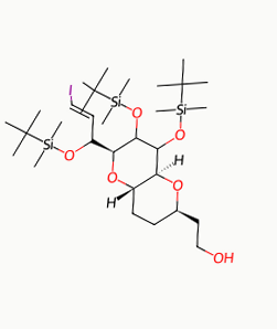 CC(C)(C)[Si](C)(C)OC(/C=C/I)[C@@H]1O[C@H]2CC[C@H](CCO)O[C@@H]2C(O[Si](C)(C)C(C)(C)C)C1O[Si](C)(C)C(C)(C)C